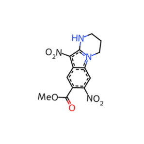 COC(=O)c1cc2c([N+](=O)[O-])c3n(c2cc1[N+](=O)[O-])CCCN3